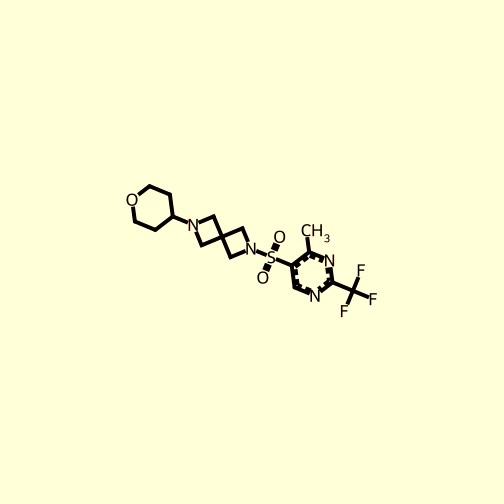 Cc1nc(C(F)(F)F)ncc1S(=O)(=O)N1CC2(CN(C3CCOCC3)C2)C1